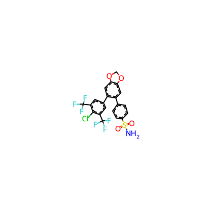 NS(=O)(=O)c1ccc(-c2cc3c(cc2-c2cc(C(F)(F)F)c(Cl)c(C(F)(F)F)c2)OCO3)cc1